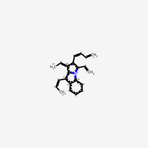 C=C/C=C\c1c(C=C)n2c(c(/C=C\C)c3ccccc32)/c1=C\C